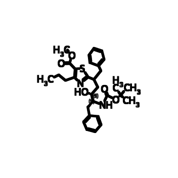 CCCc1nc(C(Cc2ccccc2)C[C@H](O)[C@H](Cc2ccccc2)NC(=O)OC(C)(C)C)sc1C(=O)OC